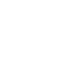 Cc1ccc(C(=O)c2ccc(C)c(C)c2C)c(C)c1C